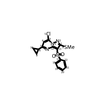 CSc1nn2c(Cl)cc(C3CC3)nc2c1S(=O)(=O)c1ccccc1